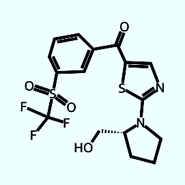 O=C(c1cccc(S(=O)(=O)C(F)(F)F)c1)c1cnc(N2CCC[C@@H]2CO)s1